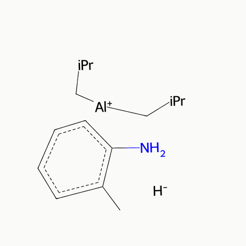 CC(C)[CH2][Al+][CH2]C(C)C.Cc1ccccc1N.[H-]